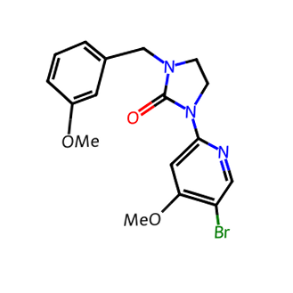 COc1cccc(CN2CCN(c3cc(OC)c(Br)cn3)C2=O)c1